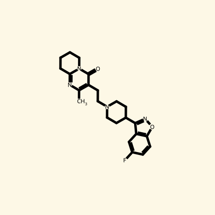 Cc1nc2n(c(=O)c1CCN1CCC(c3noc4ccc(F)cc34)CC1)CCCC2